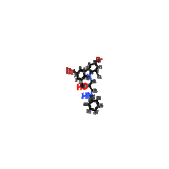 Cc1cc(Br)cc2c3cc(Br)cc(C)c3n(CC(O)CNc3ccccc3)c12